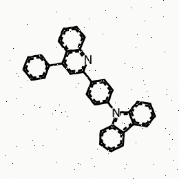 c1ccc(-c2cc(-c3ccc(-n4c5ccccc5c5ccccc54)cc3)nc3ccccc23)cc1